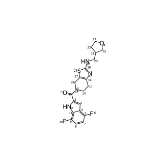 O=C(c1cc2c(F)ccc(F)c2[nH]1)N1CCc2nc(NCC3CCOC3)sc2C1